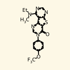 CCN(C)c1ncnc2sc3c(=O)n(-c4ccc(OC(F)(F)F)cc4)cnc3c12